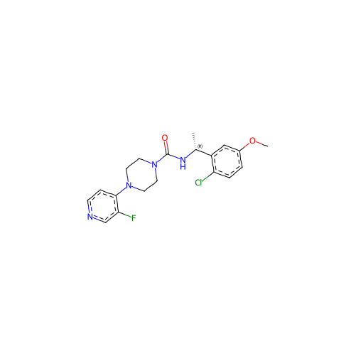 COc1ccc(Cl)c([C@@H](C)NC(=O)N2CCN(c3ccncc3F)CC2)c1